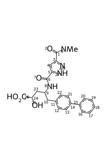 CNC(=O)c1cc(C(=O)NC(Cc2ccc(-c3ccccc3)cc2)C[C@@H](O)C(=O)O)[nH]n1